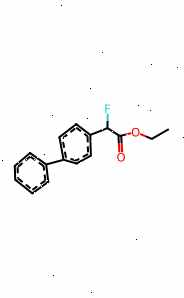 CCOC(=O)C(F)c1ccc(-c2ccccc2)cc1